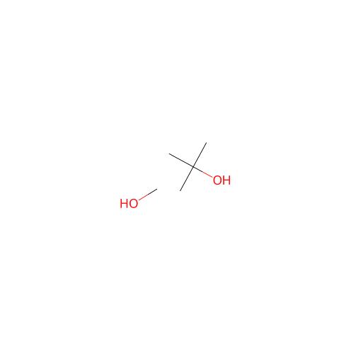 CC(C)(C)O.CO